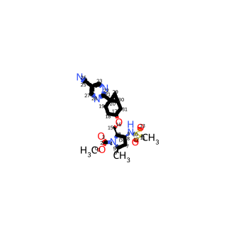 COC(=O)N1[C@H](C)C[C@H](NS(C)(=O)=O)[C@@H]1COC1CCC2(c3ncc(C#N)cn3)CC2C1